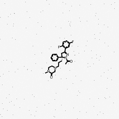 CC(=O)N1N=C(c2cc(F)ccc2F)C[C@]1(CCCN1CCN(C)C(=O)C1)c1ccccc1